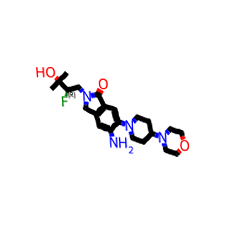 CC(C)(O)[C@H](F)CN1Cc2cc(N)c(N3CCC(N4CCOCC4)CC3)cc2C1=O